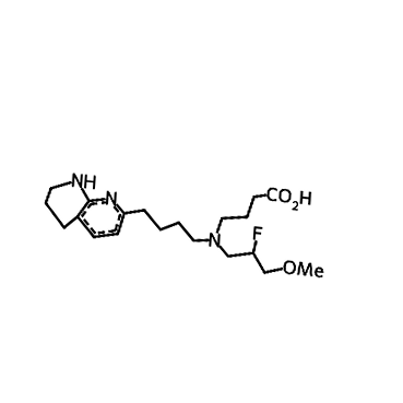 COCC(F)CN(CCCCc1ccc2c(n1)NCCC2)CCCC(=O)O